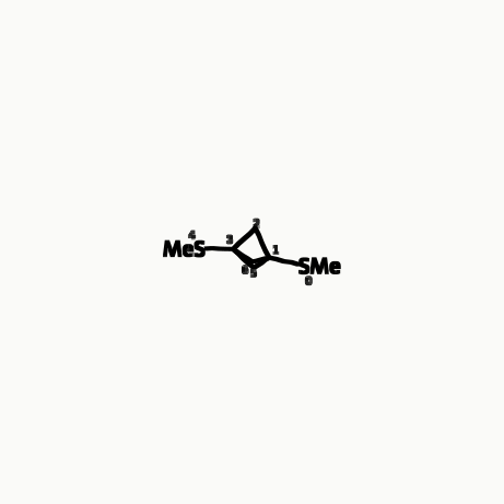 CSC12CC(SC)(C1)C2